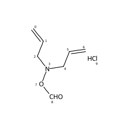 C=CCN(CC=C)OC=O.Cl